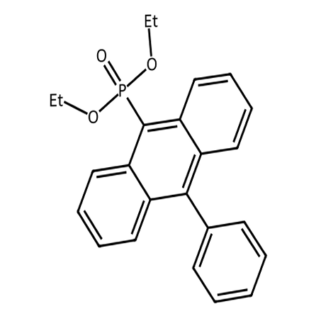 CCOP(=O)(OCC)c1c2ccccc2c(-c2ccccc2)c2ccccc12